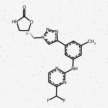 Cc1cc(Nc2nccc(C(F)F)n2)cc(-c2cn(C[C@@H]3CNC(=O)O3)nn2)c1